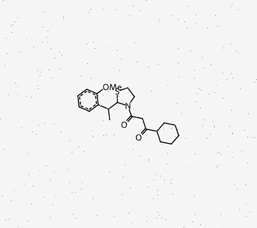 COc1ccccc1C(C)C1SCCN1C(=O)CC(=O)C1CCCCC1